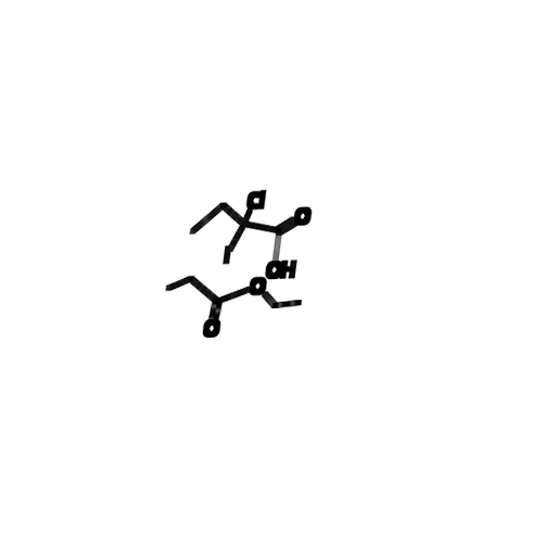 CCC(Cl)(I)C(=O)O.CCOC(=O)CC